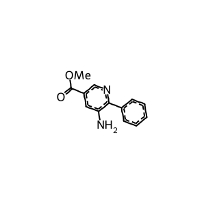 COC(=O)c1cnc(-c2ccccc2)c(N)c1